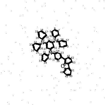 c1ccc(N(c2ccccc2)c2cc(N(c3ccccc3)c3ccccc3)cc(N(c3ccccc3)c3ccc(-c4cccc5c4oc4ccccc45)cc3)c2)cc1